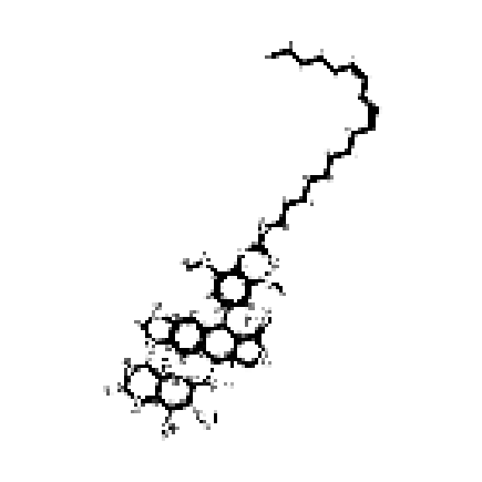 CCCCC/C=C\C/C=C\CCCCCCCCOC(=O)Oc1c(OC)cc([C@@H]2c3cc4c(cc3[C@@H](O[C@@H]3O[C@@H]5CO[C@@H](C)OC5[C@H](O)[C@H]3O)[C@H]3COC(=O)[C@H]23)OCO4)cc1OC